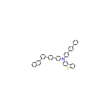 c1ccc(-c2ccc(-c3ccc(N(c4ccc(-c5ccc(-c6cccc(-c7ccc8ccccc8c7)c6)cc5)cc4)c4ccc5sc6ccccc6c5c4)cc3)cc2)cc1